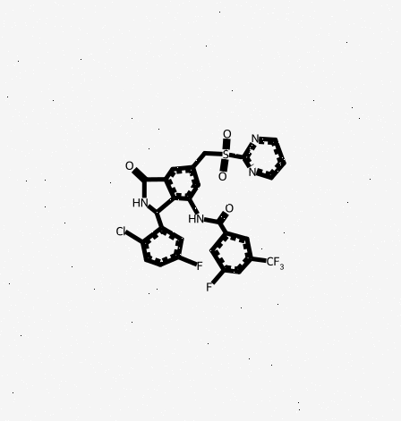 O=C(Nc1cc(CS(=O)(=O)c2ncccn2)cc2c1C(c1cc(F)ccc1Cl)NC2=O)c1cc(F)cc(C(F)(F)F)c1